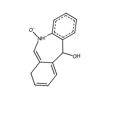 [O-][NH+]1C=C2CC=CC=C2C(O)c2ccccc21